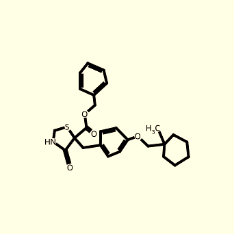 CC1(COc2ccc(CC3(C(=O)OCc4ccccc4)SCNC3=O)cc2)CCCCC1